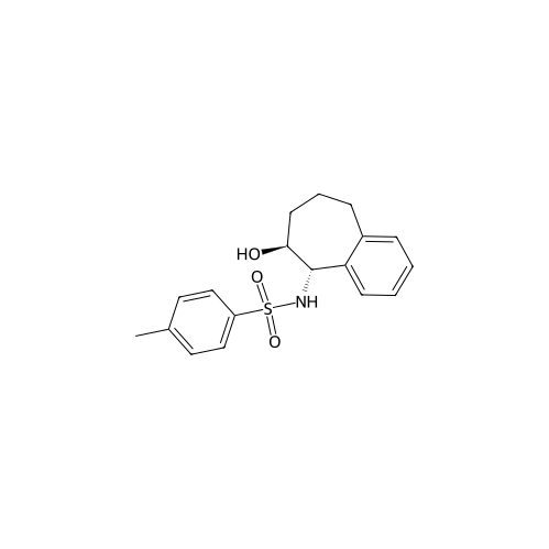 Cc1ccc(S(=O)(=O)N[C@H]2c3ccccc3CCC[C@@H]2O)cc1